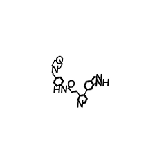 O=C(C=Cc1cnccc1-c1ccc2cn[nH]c2c1)Nc1ccc(CN2CCOCC2)cc1